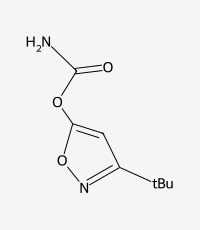 CC(C)(C)c1cc(OC(N)=O)on1